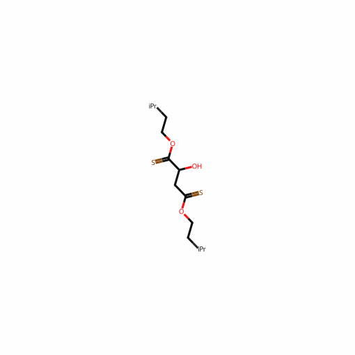 CC(C)CCOC(=S)CC(O)C(=S)OCCC(C)C